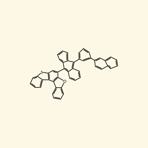 c1cc(-c2ccc3ccccc3c2)cc(-c2c3ccccc3c(-c3cc4sc5ccccc5c4c4c3oc3ccccc34)c3ccccc23)c1